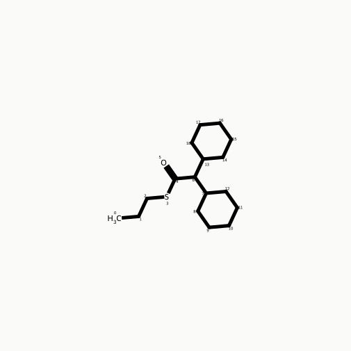 CCCSC(=O)C(C1CCCCC1)C1CCCCC1